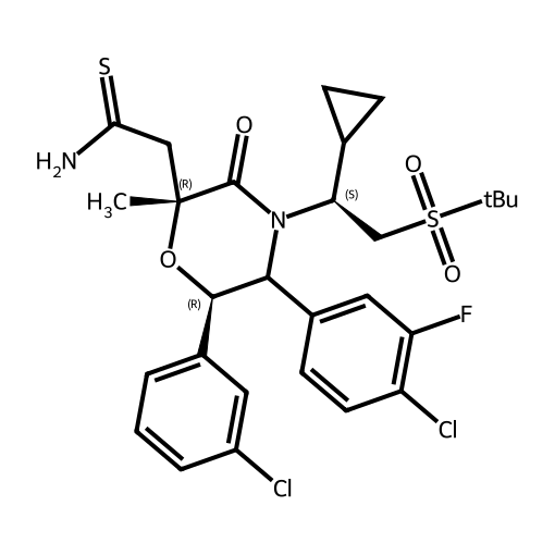 CC(C)(C)S(=O)(=O)C[C@H](C1CC1)N1C(=O)[C@@](C)(CC(N)=S)O[C@H](c2cccc(Cl)c2)C1c1ccc(Cl)c(F)c1